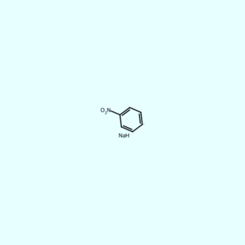 O=[N+]([O-])c1cc[c]cc1.[NaH]